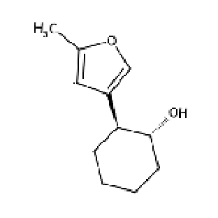 Cc1[c]c([C@@H]2CCCC[C@H]2O)co1